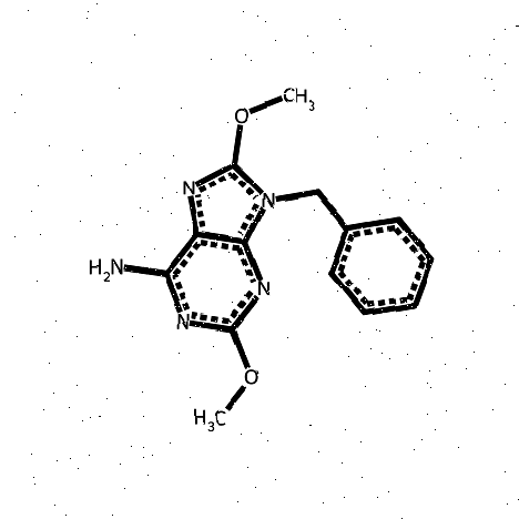 COc1nc(N)c2nc(OC)n(Cc3ccccc3)c2n1